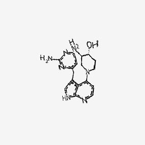 Nc1nccc(-c2c[nH]c3nccc(N4CC[C@@H](O)[C@H](N)C4)c23)n1